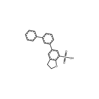 O=S(=O)(O)c1cc(-c2cccc(-c3ccccc3)c2)cc2c1OCC2